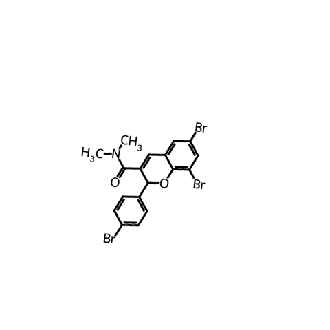 CN(C)C(=O)C1=Cc2cc(Br)cc(Br)c2OC1c1ccc(Br)cc1